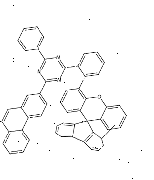 CC1CC=CC2=C1C1(c3ccccc3Oc3c(-c4ccccc4-c4nc(-c5ccccc5)nc(-c5ccc6c(ccc7ccccc76)c5)n4)cccc31)c1ccccc12